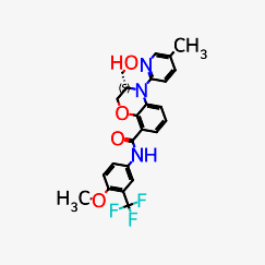 COc1ccc(NC(=O)c2cccc3c2OC[C@H](CO)N3c2ccc(C)cn2)cc1C(F)(F)F